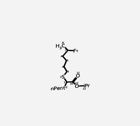 CCCCCC(SCCCCC(C)F)C(=O)OC(C)C